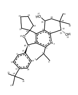 CC(C)c1nc2c(c3c1[C@@H](c1ccc(C(C)(C)C)cc1)OC31CCCC1)C(O)CC(C)(C)[C@@H]2O